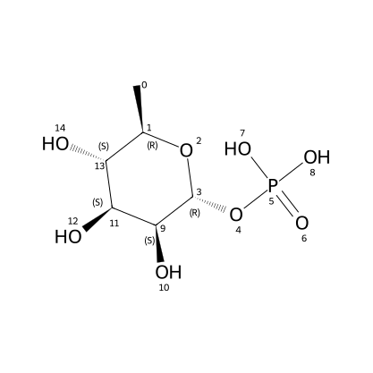 C[C@H]1O[C@H](OP(=O)(O)O)[C@@H](O)[C@@H](O)[C@@H]1O